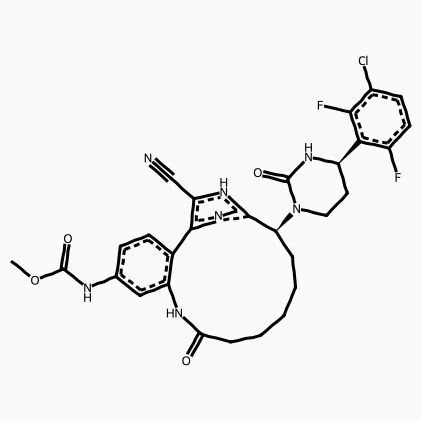 COC(=O)Nc1ccc2c(c1)NC(=O)CCCCC[C@H](N1CC[C@H](c3c(F)ccc(Cl)c3F)NC1=O)c1nc-2c(C#N)[nH]1